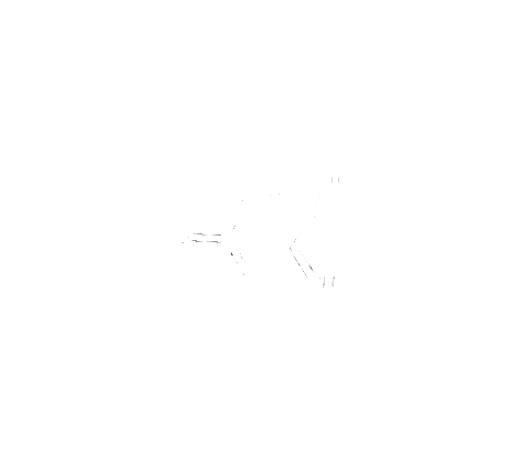 C=CS(=O)(=O)O.O=[SH](=O)O